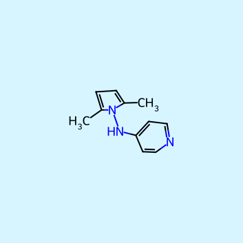 Cc1ccc(C)n1Nc1ccncc1